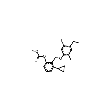 CCc1cc(C)c(OCc2c(OC(=O)OC)cccc2C2CC2)cc1F